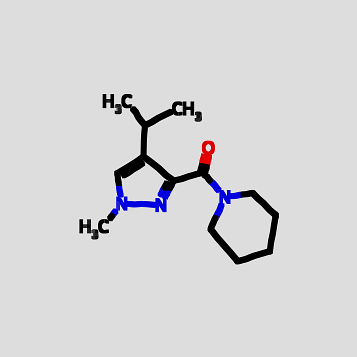 CC(C)c1cn(C)nc1C(=O)N1CCCCC1